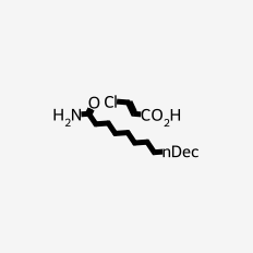 CCCCCCCCCCCCCCCCCC(N)=O.O=C(O)C=CCl